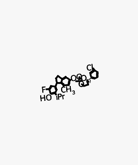 Cc1cc(OCP2(=O)OCC[C@@H](c3cccc(Cl)c3)O2)cc2c1C(c1cc(F)c(O)c(C(C)C)c1)CC2